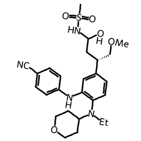 CCN(c1ccc([C@@H](COC)CC(O)NS(C)(=O)=O)cc1Nc1ccc(C#N)cc1)C1CCOCC1